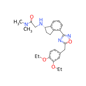 CCOc1ccc(Cc2nc(-c3cccc4c3CC[C@@H]4NCC(=O)N(C)C)no2)cc1OCC